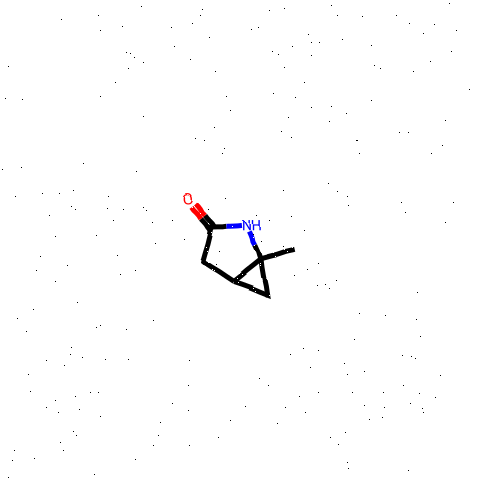 CC12CC1CC(=O)N2